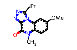 COc1ccc2c(c1)n1c(C(C)C)nnc1c(=O)n2C